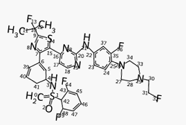 C=S(=O)(NC1C=C(c2nc(C(C)(C)F)sc2-c2ccnc(Nc3ccc(N4CCN(CCF)CC4)c(F)c3)n2)C=CC1)C1C(F)=CC=CC1F